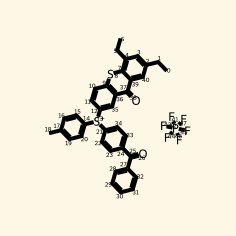 CCc1cc(CC)c2sc3ccc([S+](c4ccc(C)cc4)c4ccc(C(=O)c5ccccc5)cc4)cc3c(=O)c2c1.F[P-](F)(F)(F)(F)F